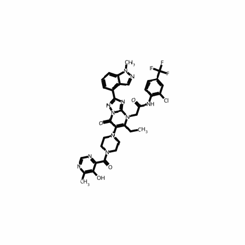 CCc1c(N2CCN(C(=O)c3ncnc(C)c3O)CC2)c(=O)n2nc(-c3cccc4c3cnn4C)nc2n1CC(=O)Nc1ccc(C(F)(F)F)cc1Cl